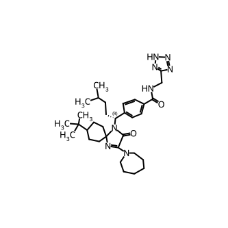 CC(C)CC[C@H](c1ccc(C(=O)NCc2nn[nH]n2)cc1)N1C(=O)C(N2CCCCCC2)=NC12CCC(C(C)(C)C)CC2